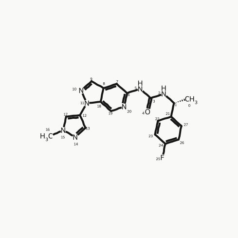 C[C@@H](NC(=O)Nc1cc2cnn(-c3cnn(C)c3)c2cn1)c1ccc(F)cc1